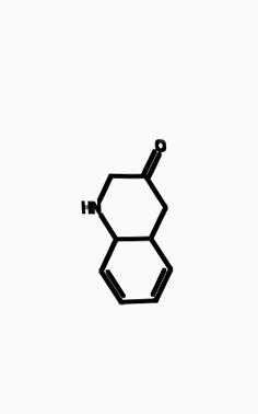 O=C1CNC2C=CC=CC2C1